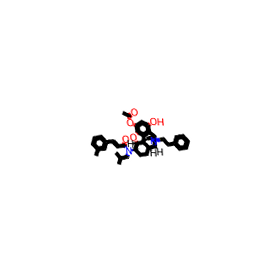 CC(=O)Oc1cc(O)c2c3c1O[C@H]1[C@H](N(CC(C)C)C(=O)C=Cc4cccc(C)c4)CC[C@H]4[C@@H](C2)N(CCc2ccccc2)CC[C@@]341